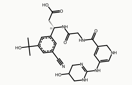 CC(C)(O)c1cc(C#N)cc([C@H](CC(=O)O)NC(=O)CNC(=O)C2=CC(NC3=NCC(O)CN3)=CNC2)c1